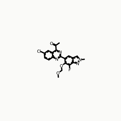 COCOc1c(-c2nc(C(C)=O)c3cc(Cl)ccc3n2)cc2cn(C)nc2c1F